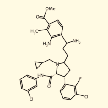 COC(=O)c1ccc(C(N)CCC2C[C@H](c3cccc(Cl)c3F)[C@H](C(=O)Nc3cccc(Cl)c3)N2CC2CC2)c(N)c1C